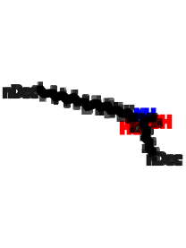 CCCCCCCCCCCCCCCCCCCCCCCCCCCC(=O)N[C@@H](CO)[C@H](O)CCCCCCCCCCCCCCC